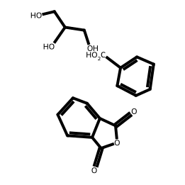 O=C(O)c1ccccc1.O=C1OC(=O)c2ccccc21.OCC(O)CO